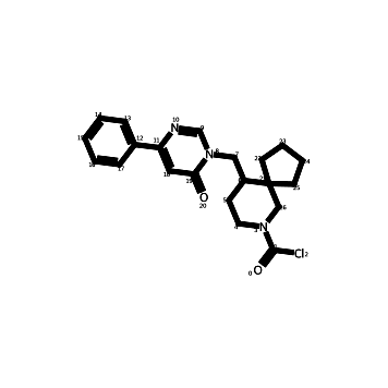 O=C(Cl)N1CCC(Cn2cnc(-c3ccccc3)cc2=O)C2(CCCC2)C1